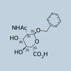 CC(=O)N[C@@H]1[C@@H](OCc2ccccc2)O[C@H](C(=O)O)[C@@H](O)[C@@H]1O